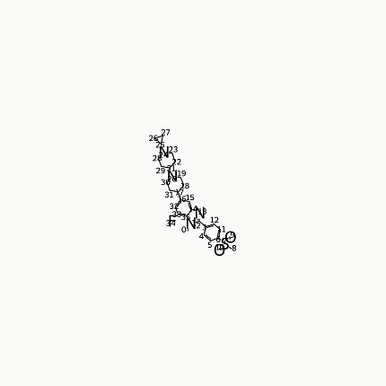 Cn1c(-c2ccc(S(C)(=O)=O)cc2)nc2cc(C3CCN(C4CCN(C5CC5)CC4)CC3)cc(F)c21